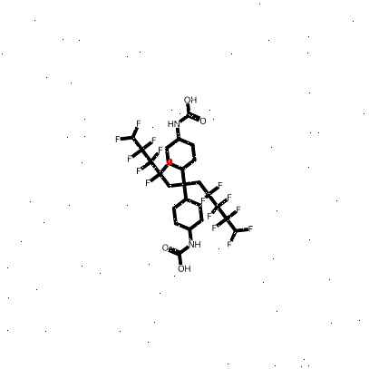 O=C(O)NC1CCC(C(CC(F)(F)C(F)(F)C(F)(F)C(F)F)(CC(F)(F)C(F)(F)C(F)(F)C(F)F)C2CCC(NC(=O)O)CC2)CC1